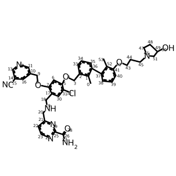 Cc1c(COc2cc(OCc3cncc(C#N)c3)c(CNCc3ccnc(C(N)=O)n3)cc2Cl)cccc1-c1cccc(OCCCN2CCC(O)C2)c1C